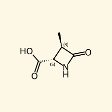 C[C@H]1C(=O)N[C@@H]1C(=O)O